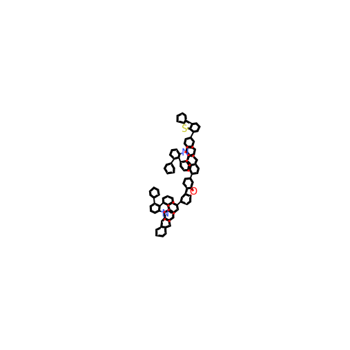 c1ccc(-c2ccccc2-c2c(-c3ccccc3)cccc2N(c2ccc(-c3ccc4oc5cc(-c6ccc7ccc(N(c8ccc(-c9cccc%10c9sc9ccccc9%10)cc8)c8cccc(-c9ccccc9)c8-c8ccccc8-c8ccccc8)cc7c6)ccc5c4c3)cc2)c2ccc3ccccc3c2)cc1